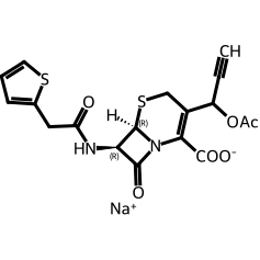 C#CC(OC(C)=O)C1=C(C(=O)[O-])N2C(=O)[C@@H](NC(=O)Cc3cccs3)[C@H]2SC1.[Na+]